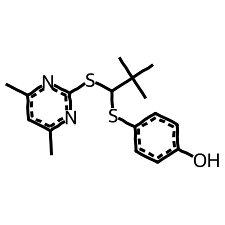 Cc1cc(C)nc(SC(Sc2ccc(O)cc2)C(C)(C)C)n1